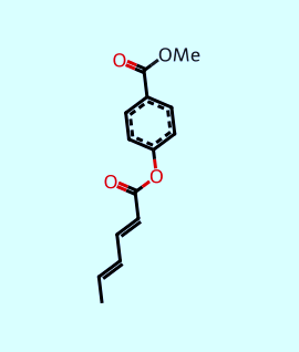 CC=CC=CC(=O)Oc1ccc(C(=O)OC)cc1